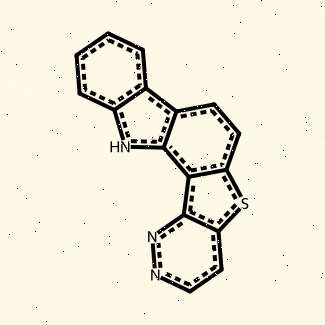 c1ccc2c(c1)[nH]c1c2ccc2sc3ccnnc3c21